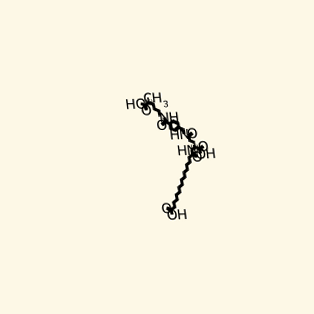 C[C@@H](CCCCNC(=O)c1ccc(CNC(=O)CC[C@H](NC(=O)CCCCCCCCCCCCCCC(=O)O)C(=O)O)cc1)C(=O)O